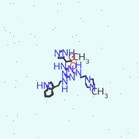 COC(=O)[C@@H](Nc1nc(NCCc2c[nH]c3ccccc23)nc(NCCN2CCN(C)CC2)n1)c1cnc[nH]1